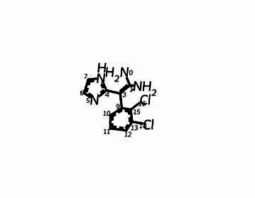 NC(N)=C(c1ncc[nH]1)c1cccc(Cl)c1Cl